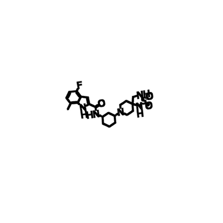 Cc1ccc(F)c2cc(C(=O)N[C@@H]3CCC[C@H](N4CCC5(CC4)CNS(=O)(=O)N5)C3)[nH]c12